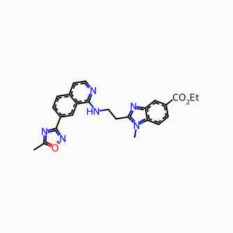 CCOC(=O)c1ccc2c(c1)nc(CCNc1nccc3ccc(-c4noc(C)n4)cc13)n2C